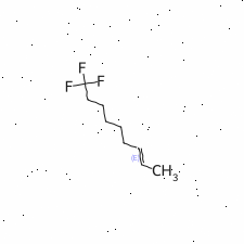 C/C=C/CCCCCC(F)(F)F